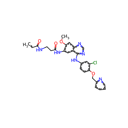 C=CC(=O)NCCC(=O)Nc1cc2c(Nc3ccc(OCc4ccccn4)c(Cl)c3)ncnc2cc1OC